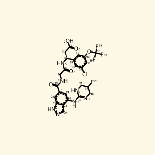 O=C(O)C[C@H](NC(=O)CNC(=O)c1cc(NC2=NCC(F)CN2)c2cn[nH]c2c1)c1cc(Cl)cc(OC(F)(F)F)c1